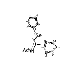 CC(=O)NC(C[Se]c1ccccc1)c1ccccc1